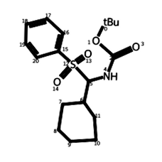 CC(C)(C)OC(=O)NC(C1CCCCC1)S(=O)(=O)c1ccccc1